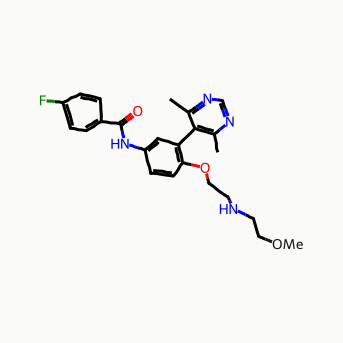 COCCNCCOc1ccc(NC(=O)c2ccc(F)cc2)cc1-c1c(C)ncnc1C